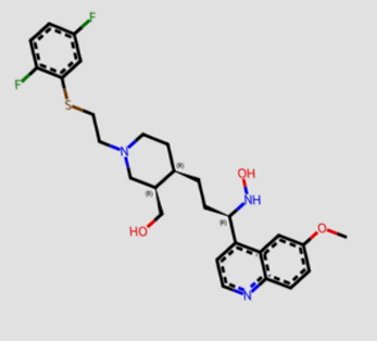 COc1ccc2nccc([C@@H](CC[C@@H]3CCN(CCSc4cc(F)ccc4F)C[C@@H]3CO)NO)c2c1